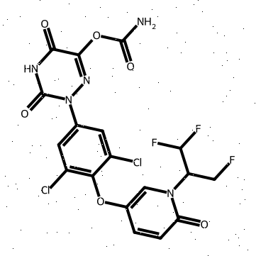 NC(=O)Oc1nn(-c2cc(Cl)c(Oc3ccc(=O)n(C(CF)C(F)F)c3)c(Cl)c2)c(=O)[nH]c1=O